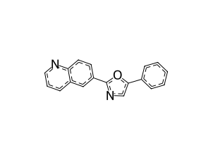 c1ccc(-c2cnc(-c3ccc4ncccc4c3)o2)cc1